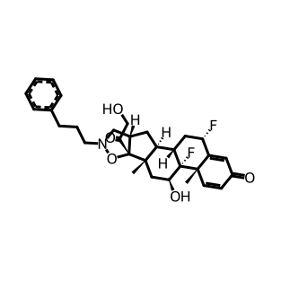 C[C@]12C=CC(=O)C=C1[C@@H](F)C[C@H]1[C@@H]3C[C@H]4CN(CCCc5ccccc5)O[C@@]4(C(=O)CO)[C@@]3(C)C[C@H](O)[C@@]12F